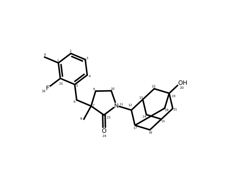 Cc1cccc(CC2(C)CCN(C3C4CC5CC3CC(O)(C5)C4)C2=O)c1F